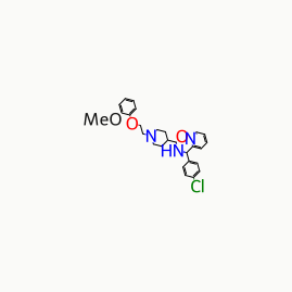 COc1ccccc1OCCN1CCC(C(=O)N[C@H](c2ccc(Cl)cc2)c2ccccn2)CC1